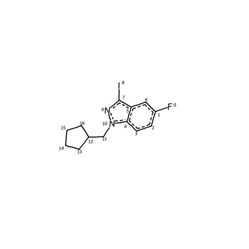 Fc1ccc2c(c1)c(I)nn2CC1CCCC1